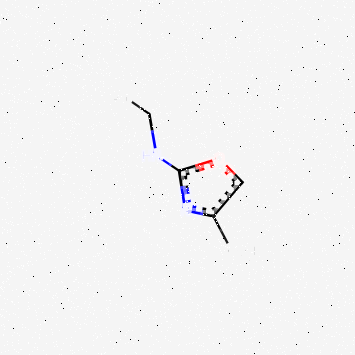 CCCCCCNc1nc(C(=O)O)co1